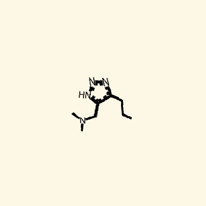 CCCc1nn[nH]c1CN(C)C